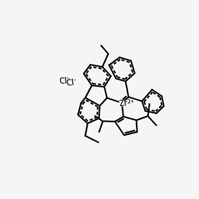 CCc1ccc2c(c1)[CH]([Zr+2]([C]1=C(C(C)C)C=CC1C(C)C)=[C](c1ccccc1)c1ccccc1)c1cc(CC)ccc1-2.[Cl-].[Cl-]